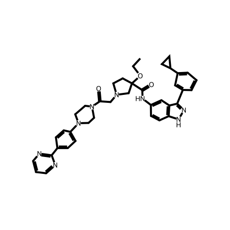 CCOC1(C(=O)Nc2ccc3[nH]nc(-c4cccc(C5CC5)c4)c3c2)CCN(CC(=O)N2CCN(c3ccc(-c4ncccn4)cc3)CC2)C1